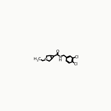 CCN1CC2C(C1)C2C(=O)NCc1ccc(Cl)c(Cl)c1